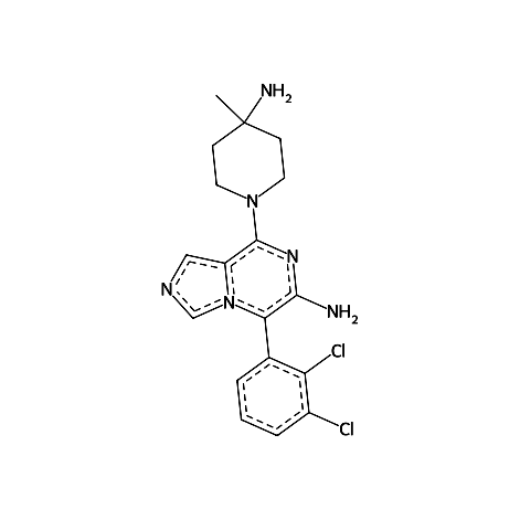 CC1(N)CCN(c2nc(N)c(-c3cccc(Cl)c3Cl)n3cncc23)CC1